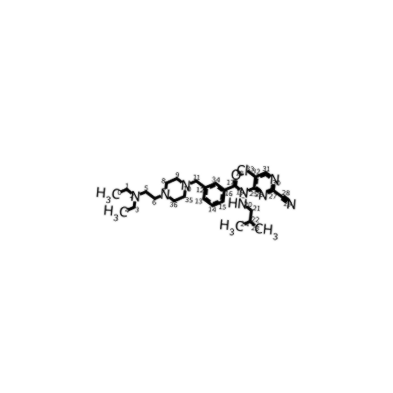 CCN(CC)CCN1CCN(Cc2cccc(C(=O)N(NCC(C)C)c3nc(C#N)ncc3Cl)c2)CC1